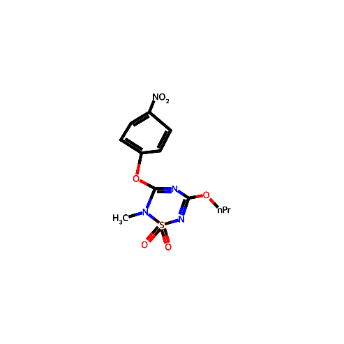 CCCOC1=NS(=O)(=O)N(C)C(Oc2ccc([N+](=O)[O-])cc2)=N1